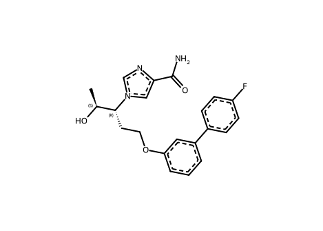 C[C@H](O)[C@@H](CCOc1cccc(-c2ccc(F)cc2)c1)n1cnc(C(N)=O)c1